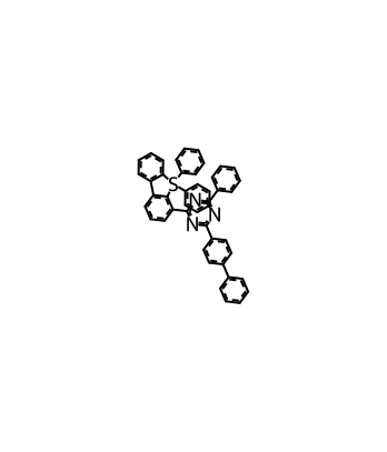 c1ccc(-c2ccc(-c3nc(-c4ccccc4)nc(-c4cccc5c4S(c4ccccc4)(c4ccccc4)c4ccccc4-5)n3)cc2)cc1